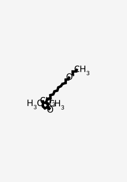 CCCCOCCCCCCCCCCCCC1=C(C)C(=O)CCC1(C)C